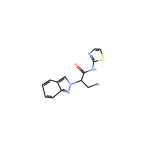 CC(C)CC(C(=O)Nc1nccs1)n1cc2ccccc2n1